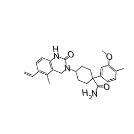 C=Cc1ccc2c(c1C)CN(C1CCC(C(N)=O)(c3ccc(C)c(OC)c3)CC1)C(=O)N2